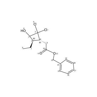 CC[C@H]1C(O)C(Cl)(Cl)[C@@H]1CC(=O)OCc1ccccc1